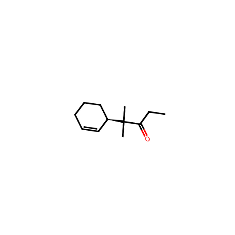 CCC(=O)C(C)(C)[C@H]1C=CCCC1